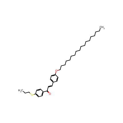 CCCCCCCCCCCCCCCCCCOc1ccc(/C=C/C(=O)c2ccc(SCCC)cc2)cc1